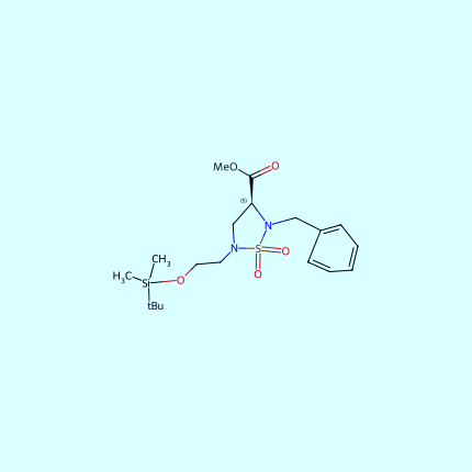 COC(=O)[C@@H]1CN(CCO[Si](C)(C)C(C)(C)C)S(=O)(=O)N1Cc1ccccc1